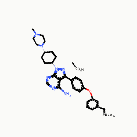 CC(=O)NCc1cccc(Oc2ccc(-c3nn([C@H]4CC[C@@H](N5CCN(C)CC5)CC4)c4ncnc(N)c34)cc2)c1.CC(=O)O